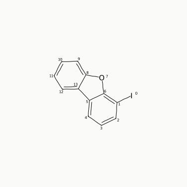 Ic1cccc2c1oc1ccccc12